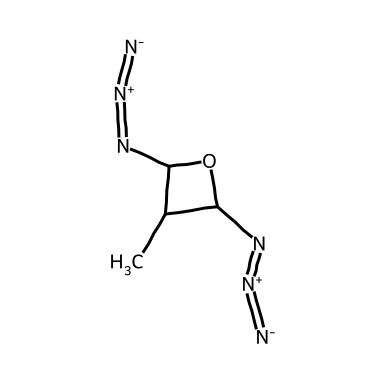 CC1C(N=[N+]=[N-])OC1N=[N+]=[N-]